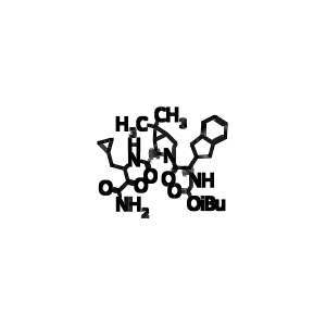 CC(C)COC(=O)N[C@H](C(=O)N1CC2C([C@H]1C(=O)NC(CC1CC1)C(=O)C(N)=O)C2(C)C)C1Cc2ccccc2C1